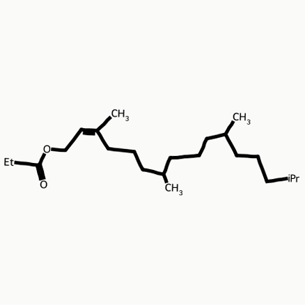 CCC(=O)OCC=C(C)CCCC(C)CCCC(C)CCCC(C)C